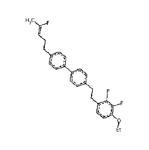 CCOc1ccc(CCc2ccc(-c3ccc(CCC=C(C)F)cc3)cc2)c(F)c1F